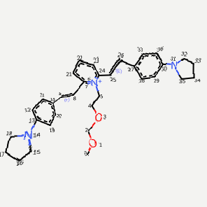 COCOCC[n+]1c(/C=C/c2ccc(N3CCCC3)cc2)cccc1/C=C/c1ccc(N2CCCC2)cc1